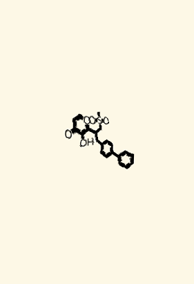 CS(=O)(=O)CC(Cc1ccc(-c2ccccc2)cc1)c1occc(=O)c1O